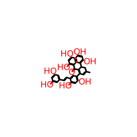 CC1=CC(c2cc(/C=C/c3cc(O)cc(O)c3)c(O)cc2O)=C(C(=O)c2ccc(O)cc2O)C(c2ccc(O)cc2O)C1